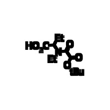 CCC(C(=O)O)N(CC)C(=O)C(=O)OC(C)(C)C